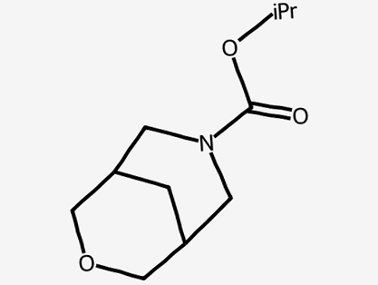 CC(C)OC(=O)N1CC2COCC(C2)C1